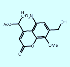 COc1c(CO)cc([N+](=O)[O-])c2c(C(C)OC(C)=O)cc(=O)oc12